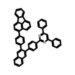 c1ccc(-c2cc(-c3ccccc3)nc(-c3ccc(-c4cc5ccccc5cc4-c4ccc(-c5ccc6c7c(cccc57)-c5ccccc5-6)cc4)cc3)n2)cc1